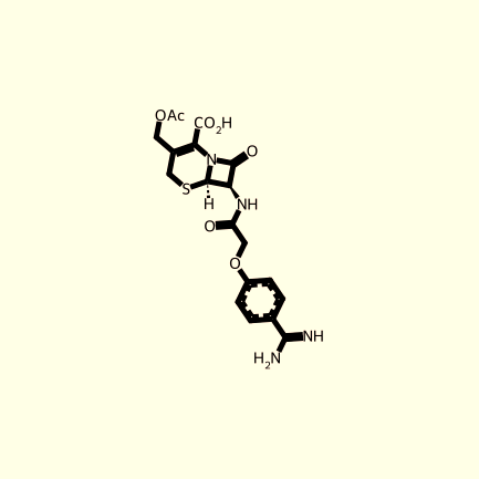 CC(=O)OCC1=C(C(=O)O)N2C(=O)[C@@H](NC(=O)COc3ccc(C(=N)N)cc3)[C@H]2SC1